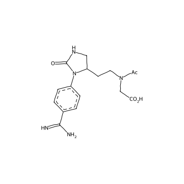 CC(=O)N(CCC1CNC(=O)N1c1ccc(C(=N)N)cc1)CC(=O)O